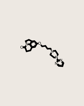 O=C1CCc2cc(OCCCCN3CCN(c4ncccn4)CC3)cc3c2N1CC3